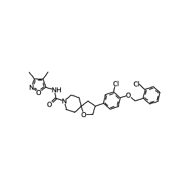 Cc1noc(NC(=O)N2CCC3(CC2)CC(c2ccc(OCc4ccccc4Cl)c(Cl)c2)CO3)c1C